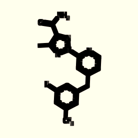 Cc1nn(-c2cc(Cc3cc(F)cc(C(F)(F)F)c3)ccn2)nc1C(N)=O